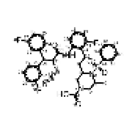 CC1CN(C(=O)O)CC(CCc2c(F)cccc2NC(=O)[C@@H](N=[N+]=[N-])C(c2cccc(F)c2)c2cccc(F)c2)N1S(=O)(=O)c1ccccc1